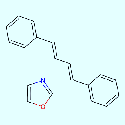 C(/C=C/c1ccccc1)=C\c1ccccc1.c1cocn1